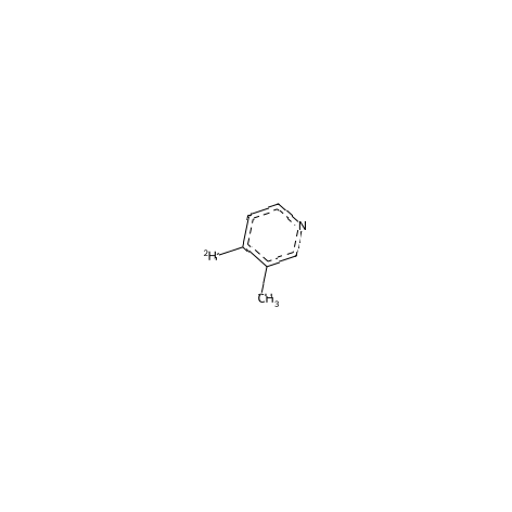 [2H]c1ccncc1C